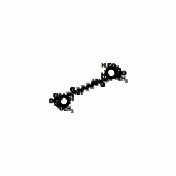 C=C1C(=O)O[C@H]2[C@H]1CC/C(CNC(=O)NCCCCCCCCNC(=O)NC/C1=C/CC[C@@]3(C)O[C@H]3[C@H]3OC(=O)C(=C)[C@@H]3CC1)=C\CC[C@@]1(C)O[C@@H]21